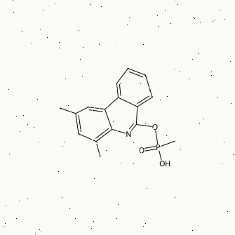 Cc1cc(C)c2nc(OP(C)(=O)O)c3ccccc3c2c1